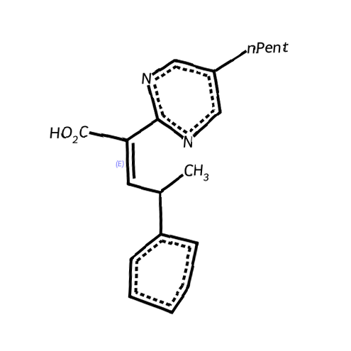 CCCCCc1cnc(/C(=C\C(C)c2ccccc2)C(=O)O)nc1